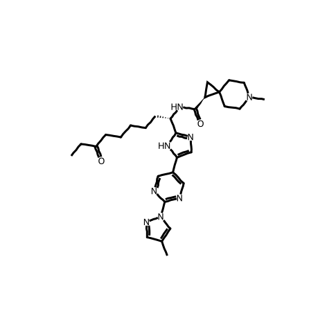 CCC(=O)CCCCC[C@H](NC(=O)[C@H]1CC12CCN(C)CC2)c1ncc(-c2cnc(-n3cc(C)cn3)nc2)[nH]1